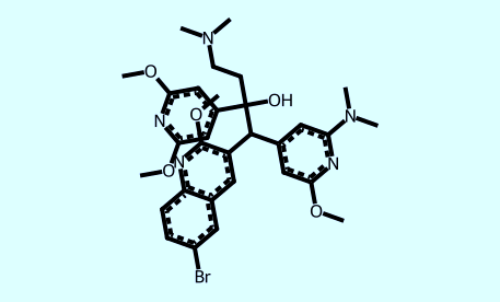 COc1cc(C(O)(CCN(C)C)C(c2cc(OC)nc(N(C)C)c2)c2cc3cc(Br)ccc3nc2OC)cc(OC)n1